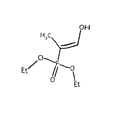 CCOP(=O)(OCC)/C(C)=C/O